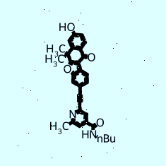 CCCCNC(=O)c1cc(C)nc(C#Cc2ccc3c4c(oc3c2)C(C)(C)c2cc(O)ccc2C4=O)c1